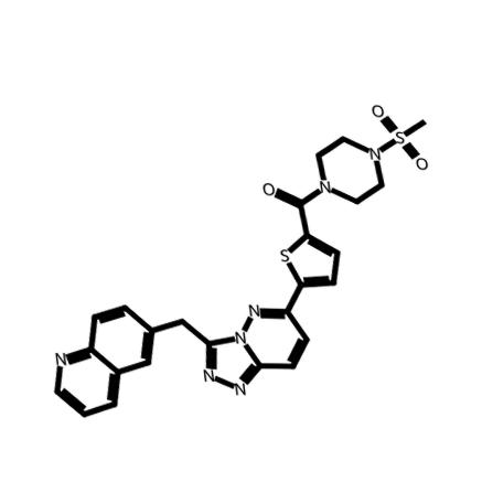 CS(=O)(=O)N1CCN(C(=O)c2ccc(-c3ccc4nnc(Cc5ccc6ncccc6c5)n4n3)s2)CC1